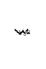 CCCCc1ccc(C2CC2C(=O)N2CC(C)OC(C)C2)s1